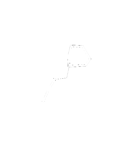 O=C=N[CH]c1ccccc1